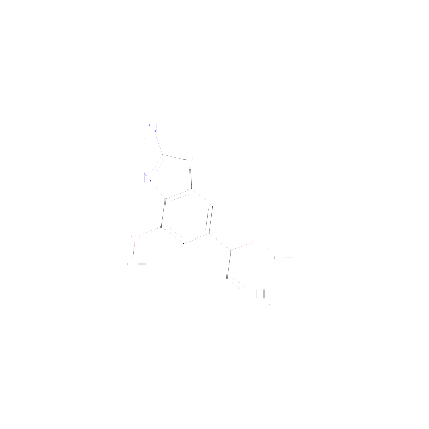 C=CC(OC)c1cc2c(c(OC)c1)N=C(N)B2